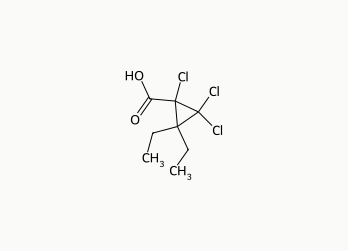 CCC1(CC)C(Cl)(Cl)C1(Cl)C(=O)O